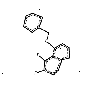 Fc1ccc2cccc(OCc3ccccc3)c2c1F